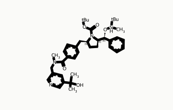 CN(Cc1cncc(C(C)(C)O)c1)C(=O)c1ccc(C[C@@H]2CC[C@H]([C@H](O[SiH](C)C(C)(C)C)c3ccccc3)N2C(=O)OC(C)(C)C)cc1